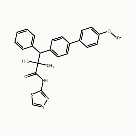 CC(C)Oc1ccc(-c2ccc(C(c3ccccc3)C(C)(C)C(=O)Nc3nncs3)cc2)cc1